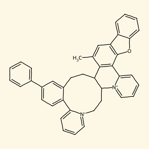 Cc1cc2c(oc3ccccc32)c2c1C1CCc3cc(-c4ccccc4)ccc3-c3cccc[n+]3CCC1[n+]1ccccc1-2